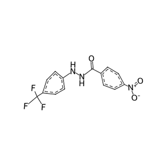 O=C(NNc1ccc(C(F)(F)F)cc1)c1ccc([N+](=O)[O-])cc1